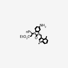 CCCC(CC(=O)OCC)n1c(=O)n(Cc2cn(C)c3cccc(C)c23)c2cc(N)ccc21